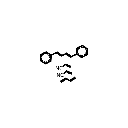 C(C=Cc1ccccc1)=Cc1ccccc1.C=CC#N.C=CC#N.C=CC=C